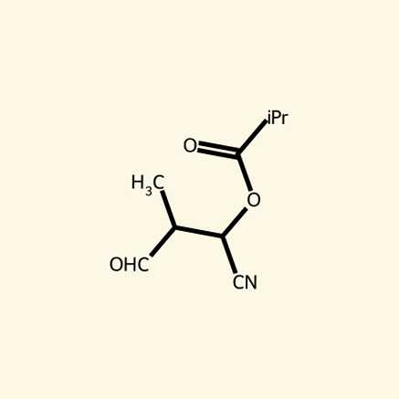 CC(C)C(=O)OC(C#N)C(C)C=O